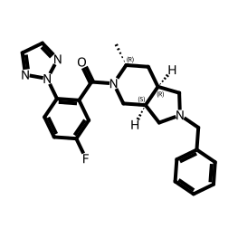 C[C@@H]1C[C@H]2CN(Cc3ccccc3)C[C@H]2CN1C(=O)c1cc(F)ccc1-n1nccn1